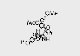 COCCCOc1cc(C(=O)N(C[C@@H]2CNC[C@H]2NS(=O)(=O)c2ccc(OC(C)C)cc2)C(C)C)ccc1OC